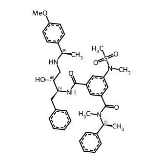 COc1ccc([C@@H](C)NC[C@@H](O)[C@H](Cc2ccccc2)NC(=O)c2cc(C(=O)N(C)[C@@H](C)c3ccccc3)cc(N(C)S(C)(=O)=O)c2)cc1